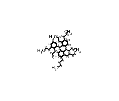 CCCCc1ccc(P(c2cccc(CCC)c2CCC)c2cccc(CCC)c2CCC)c(CCCC)c1CCCC